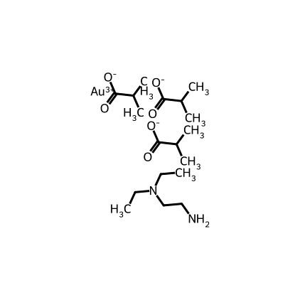 CC(C)C(=O)[O-].CC(C)C(=O)[O-].CC(C)C(=O)[O-].CCN(CC)CCN.[Au+3]